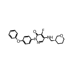 O=c1c(F)c(NC[C@@H]2CCCOC2)cnn1-c1ccc(Oc2ccccc2)cc1